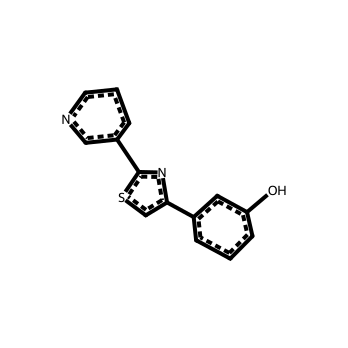 Oc1cccc(-c2csc(-c3cccnc3)n2)c1